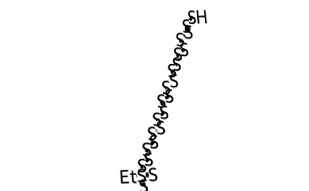 CCS(=S)(=S)SSSSSSSSSSSSSSSSSSSS